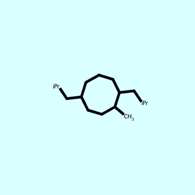 CC(C)CC1CCCC(CC(C)C)C(C)CC1